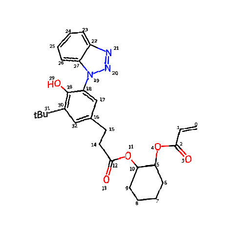 C=CC(=O)OC1CCCCC1OC(=O)CCc1cc(-n2nnc3ccccc32)c(O)c(C(C)(C)C)c1